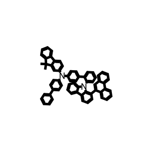 CC1(C)c2ccccc2-c2ccc(N(c3ccc(-c4ccccc4)cc3)c3ccc(-c4ccccc4-n4c5ccccc5c5cccc(-c6cc7ccccc7c7ccccc67)c54)cc3)cc21